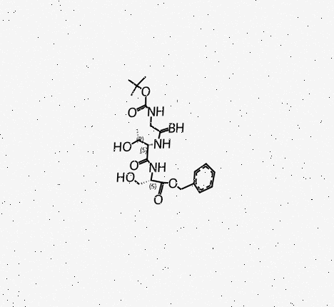 B=C(CNC(=O)OC(C)(C)C)N[C@H](C(=O)N[C@@H](CO)C(=O)OCc1ccccc1)[C@@H](C)O